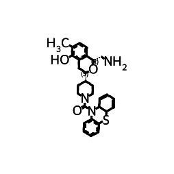 Cc1ccc2c(c1O)C[C@@H](C1CCN(C(=O)N3c4ccccc4SC4C=CC=CC43)CC1)O[C@H]2CN